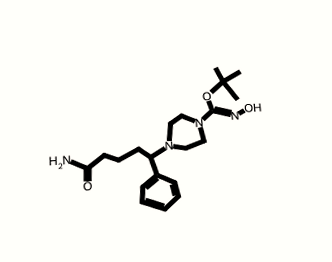 CC(C)(C)OC(=NO)N1CCN(C(CCCC(N)=O)c2ccccc2)CC1